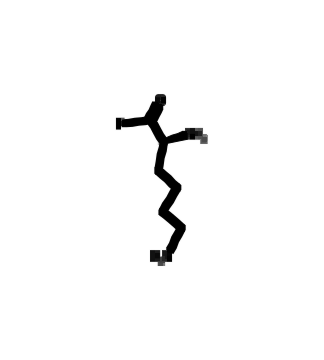 NCCCC[C@H](N)C(=O)F